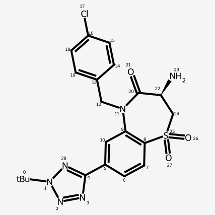 CC(C)(C)n1nnc(-c2ccc3c(c2)N(Cc2ccc(Cl)cc2)C(=O)[C@@H](N)CS3(=O)=O)n1